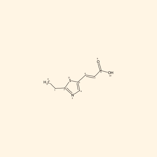 CCc1ncc(C=CC(=O)O)s1